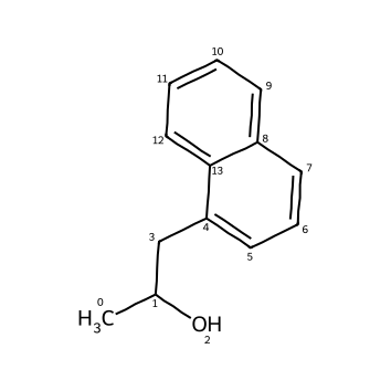 CC(O)Cc1cccc2ccccc12